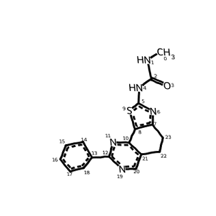 CNC(=O)Nc1nc2c(s1)-c1nc(-c3ccccc3)ncc1CC2